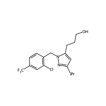 CC(C)c1cc(CCCO)n(Cc2ccc(C(F)(F)F)cc2Cl)n1